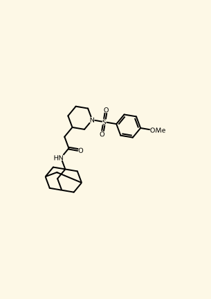 COc1ccc(S(=O)(=O)N2CCCC(CC(=O)NC34CC5CC(CC(C5)C3)C4)C2)cc1